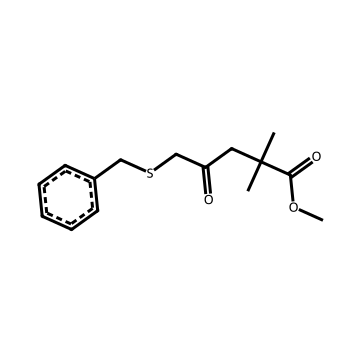 COC(=O)C(C)(C)CC(=O)CSCc1ccccc1